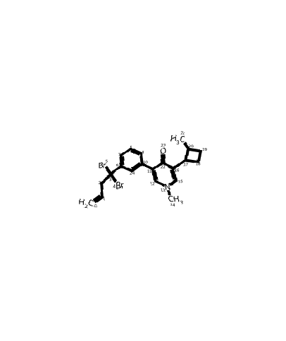 C=CCC(Br)(Br)c1cccc(-c2cn(C)cc(C3CCC3C)c2=O)c1